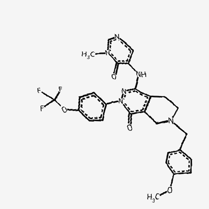 COc1ccc(CN2CCc3c(Nc4cncn(C)c4=O)nn(-c4ccc(OC(F)(F)F)cc4)c(=O)c3C2)cc1